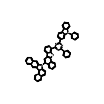 c1ccc(-c2nc(-c3ccc4c5ccccc5n(-c5ccccc5)c4c3)nc(-c3cccc4c3oc3c5ccccc5c(-n5c6cc7ccccc7cc6c6c7ccccc7ccc65)cc43)n2)cc1